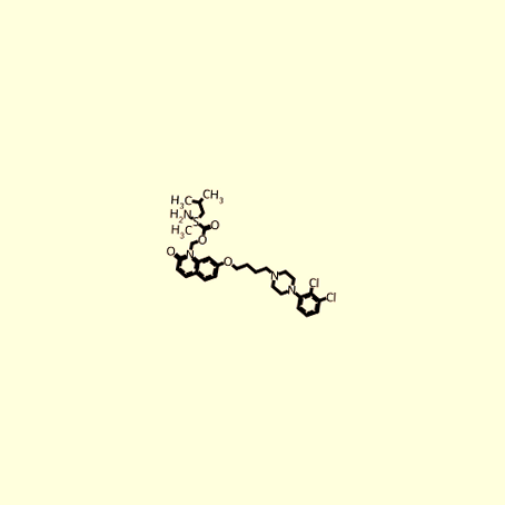 CC(C)CS(C)(N)C(=O)OCn1c(=O)ccc2ccc(OCCCCN3CCN(c4cccc(Cl)c4Cl)CC3)cc21